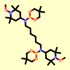 CON1C(C)(C)CC(N(CCCCCCN(C2CC(C)(C)N(OC)C(C)(C)C2)P2OCC(C)(C)CO2)P2OCC(C)(C)CO2)CC1(C)C